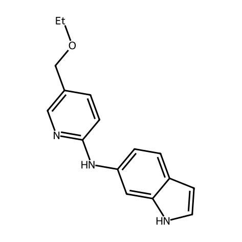 CCOCc1ccc(Nc2ccc3cc[nH]c3c2)nc1